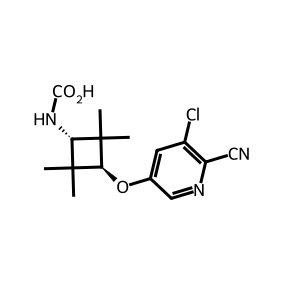 CC1(C)[C@H](NC(=O)O)C(C)(C)[C@H]1Oc1cnc(C#N)c(Cl)c1